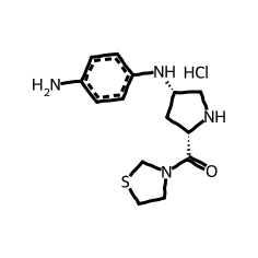 Cl.Nc1ccc(N[C@@H]2CN[C@H](C(=O)N3CCSC3)C2)cc1